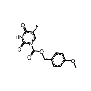 COc1ccc(COC(=O)n2cc(F)c(=O)[nH]c2=O)cc1